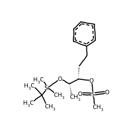 C[C@H](O[Si](C)(C)C(C)(C)C)[C@H](CCc1ccccc1)OS(C)(=O)=O